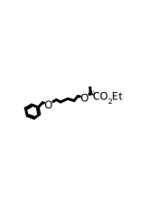 CCOC(=O)[C@H](C)OCCCCCOCc1ccccc1